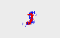 CCCCCNc1nc(N)nc2ccn(Cc3ccc(CN4CC(N(C)C(=O)OCc5ccc(NC(=O)[C@H](CCCNC(N)=O)NC(=O)[C@@H](C)C(C)C)cc5)C4)cc3OC)c12